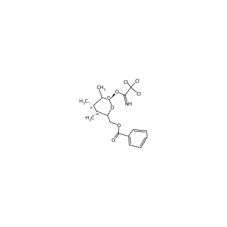 CC1[C@@H](OC(=N)C(Cl)(Cl)Cl)OC(COC(=O)c2ccccc2)[C@H](C)[C@@H]1C